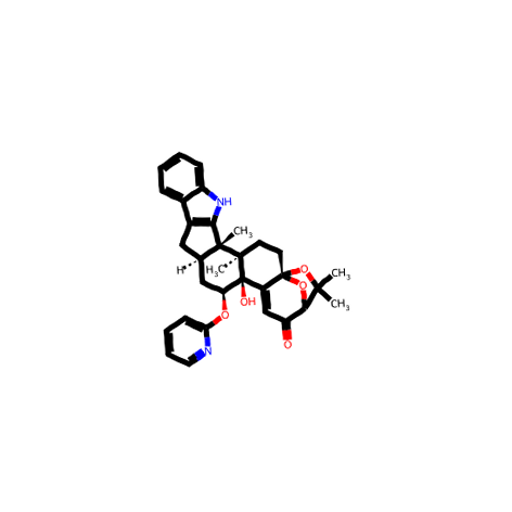 CC1(C)O[C@@]23CC[C@]4(C)[C@@]5(C)c6[nH]c7ccccc7c6C[C@@H]5C[C@H](Oc5ccccn5)[C@@]4(O)C2=CC(=O)C1O3